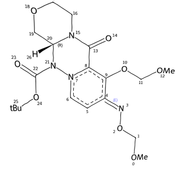 COCO/N=c1\ccn2c(c1OCOC)C(=O)N1CCOC[C@H]1N2C(=O)OC(C)(C)C